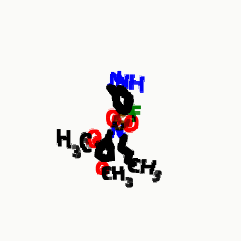 CCCCCN(Cc1ccc(OC)cc1OC)S(=O)(=O)c1cc2cn[nH]c2cc1F